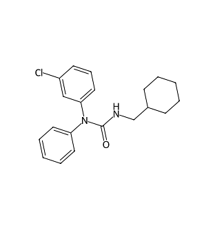 O=C(NCC1CCCCC1)N(c1ccccc1)c1cccc(Cl)c1